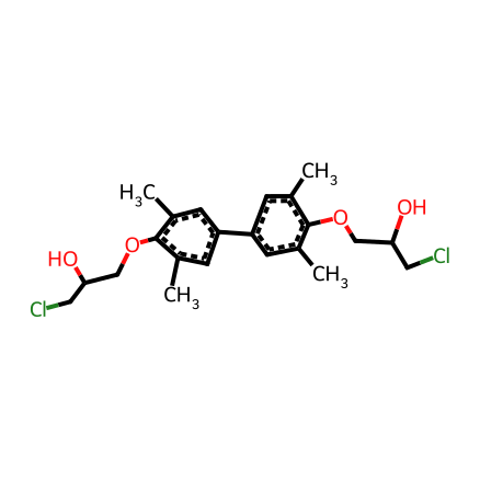 Cc1cc(-c2cc(C)c(OCC(O)CCl)c(C)c2)cc(C)c1OCC(O)CCl